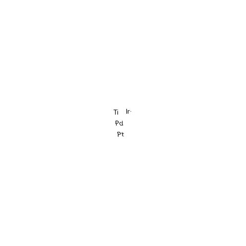 [Ir].[Pd].[Pt].[Ti]